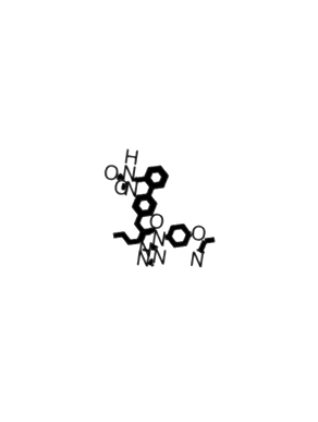 CCCc1c(Cc2ccc(-c3ccccc3-c3noc(=O)[nH]3)cc2)c(=O)n(C2CCC(OC(C)C#N)CC2)c2ncnn12